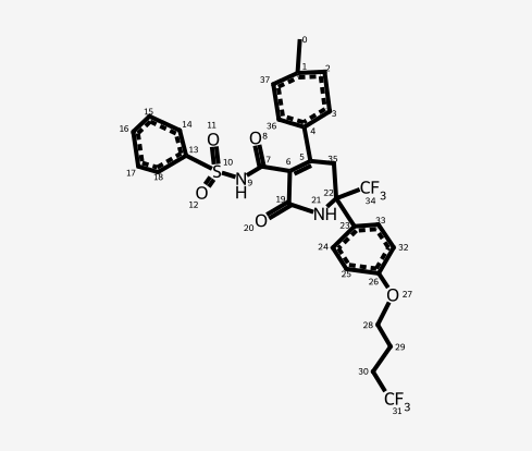 Cc1ccc(C2=C(C(=O)NS(=O)(=O)c3ccccc3)C(=O)NC(c3ccc(OCCCC(F)(F)F)cc3)(C(F)(F)F)C2)cc1